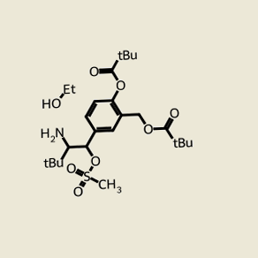 CC(C)(C)C(=O)OCc1cc(C(OS(C)(=O)=O)C(N)C(C)(C)C)ccc1OC(=O)C(C)(C)C.CCO